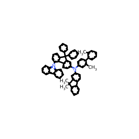 Cc1ccccc1-c1ccc(N(c2ccc3c(c2)C(C)(C)c2ccccc2-3)c2ccc3c(c2)C(c2ccccc2)(c2ccccc2)c2cccc(-n4c5ccccc5c5ccccc54)c2-3)cc1C